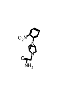 NC(=O)CN1CC2CC1CN2c1ccccc1[N+](=O)[O-]